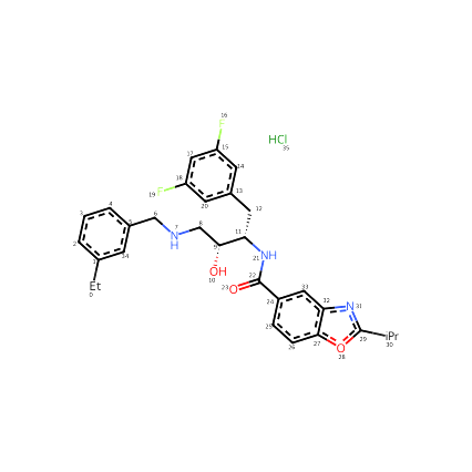 CCc1cccc(CNC[C@@H](O)[C@H](Cc2cc(F)cc(F)c2)NC(=O)c2ccc3oc(C(C)C)nc3c2)c1.Cl